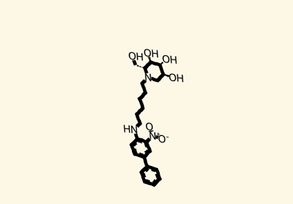 O=[N+]([O-])c1cc(-c2ccccc2)ccc1NCCCCCCN1C[C@H](O)[C@@H](O)[C@H](O)[C@H]1CO